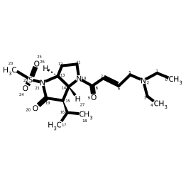 CCN(CC)C/C=C/C(=O)N1CC[C@H]2[C@H]1[C@@H](C(C)C)C(=O)N2S(C)(=O)=O